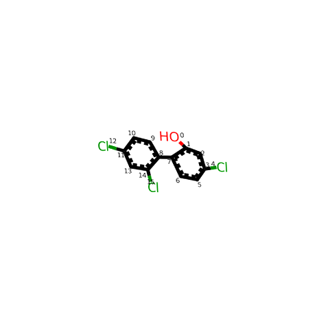 Oc1cc(Cl)ccc1-c1ccc(Cl)cc1Cl